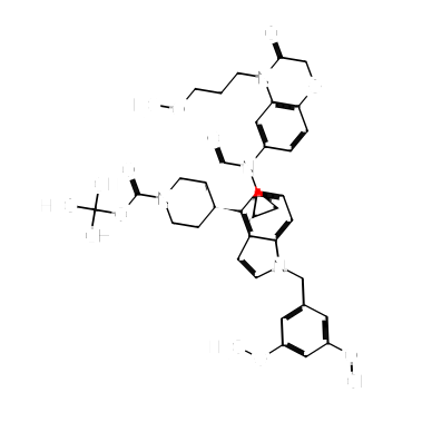 COCCCN1C(=O)COc2ccc(N(C(=O)[C@H]3CN(C(=O)OC(C)(C)C)CC[C@@H]3c3cccc4c3ccn4Cc3cc(OC)cc(OC)c3)C3CC3)cc21